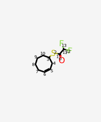 O=C(SC1CC=CCCCC1)C(F)F